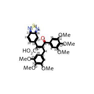 COc1cc(CC(C(=O)c2cc(OC)c(OC)c(OC)c2)=C(C(=O)O)c2ccc3nsnc3c2)cc(OC)c1OC